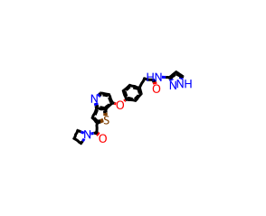 O=C(Cc1ccc(Oc2ccnc3cc(C(=O)N4CCC4)sc23)cc1)Nc1cc[nH]n1